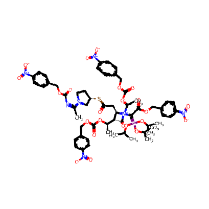 CC(=NC(=O)OCc1ccc([N+](=O)[O-])cc1)N1CC[C@H](SC(=O)C[C@@H]2[C@@H]([C@@H](C)OC(=O)OCc3ccc([N+](=O)[O-])cc3)C(=O)[N+]2(C(C(=O)OCc2ccc([N+](=O)[O-])cc2)=P(OC(C)C)(OC(C)C)OC(C)C)C(C)OC(=O)OCc2ccc([N+](=O)[O-])cc2)C1